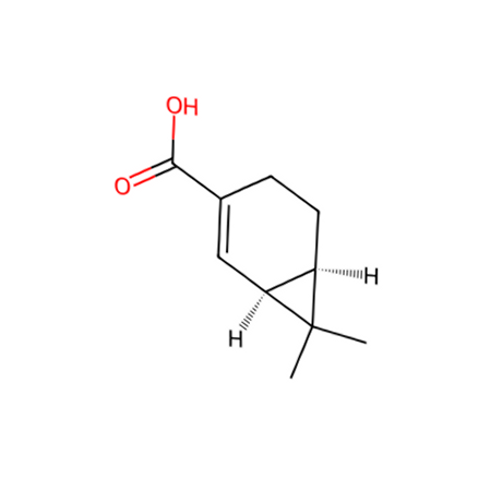 CC1(C)[C@@H]2CCC(C(=O)O)=C[C@@H]21